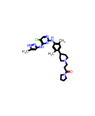 Cc1cc(Nc2nc(Nc3cc(C)c(C4CCN(CCC(=O)N5CCCC5)CC4)cc3C)ncc2Cl)n[nH]1